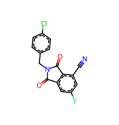 N#Cc1cc(F)cc2c1C(=O)N(Cc1ccc(Cl)cc1)C2=O